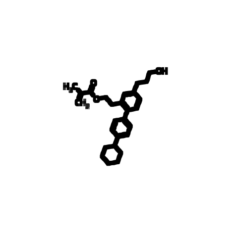 C=C(C)C(=O)OCCc1cc(CCCO)ccc1-c1ccc(C2CCCCC2)cc1